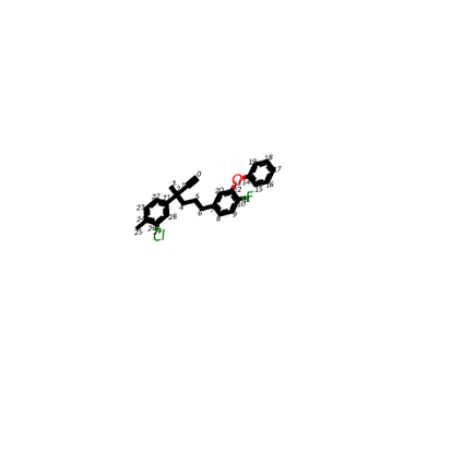 C#CC(C)(CCCc1ccc(F)c(Oc2ccccc2)c1)c1ccc(C)c(Cl)c1